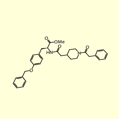 COC(=O)[C@H](Cc1ccc(OCc2ccccc2)cc1)NC(=O)CC1CCN(C(=O)Cc2ccccc2)CC1